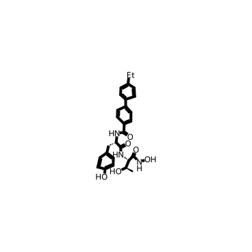 CCc1ccc(-c2ccc(C(=O)N[C@@H](Cc3ccc(O)cc3)C(=O)N[C@H](C(=O)NO)[C@@H](C)O)cc2)cc1